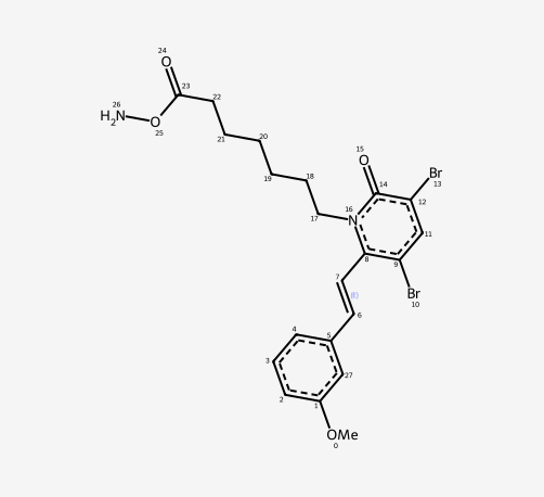 COc1cccc(/C=C/c2c(Br)cc(Br)c(=O)n2CCCCCCC(=O)ON)c1